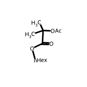 CCCCCCOC(=O)C(C)(C)OC(C)=O